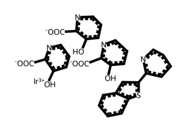 O=C([O-])c1ncccc1O.O=C([O-])c1ncccc1O.O=C([O-])c1ncccc1O.[Ir+3].c1ccc(-c2cc3ccccc3s2)nc1